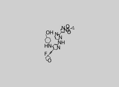 O=S(=O)(C1CC1)n1cc(-c2nccc(Nc3cc(NC4CCC(CO)CC4)c(C#CC4(F)CCOC4)cn3)n2)cn1